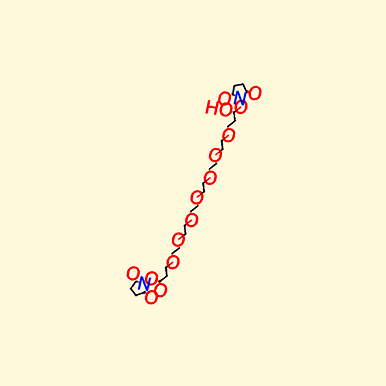 O=C(CCOCCOCCOCCOCCOCCOCCOCCC(O)ON1C(=O)CCC1=O)ON1C(=O)CCC1=O